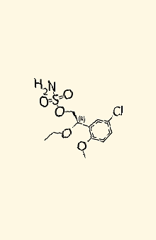 CCO[C@@H](COS(N)(=O)=O)c1cc(Cl)ccc1OC